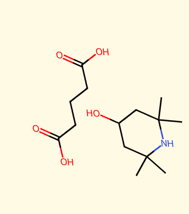 CC1(C)CC(O)CC(C)(C)N1.O=C(O)CCCC(=O)O